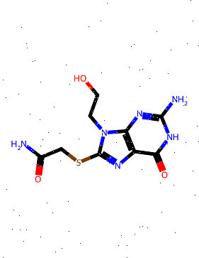 NC(=O)CSc1nc2c(=O)[nH]c(N)nc2n1CCO